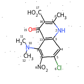 Cc1[nH]c2cc(Cl)c([N+](=O)[O-])c(N(C)C)c2c(=O)c1C(=O)O